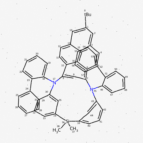 CC(C)(C)c1cc2ccc3c4cc(c5ccc(c1)c2c35)N(c1ccccc1-c1ccccc1)c1cccc(c1)[Si](C)(C)c1cccc(c1)N4c1ccccc1-c1ccccc1